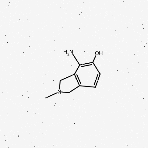 CN1Cc2ccc(O)c(N)c2C1